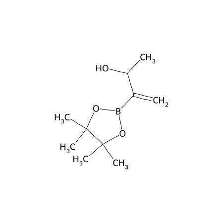 C=C(B1OC(C)(C)C(C)(C)O1)C(C)O